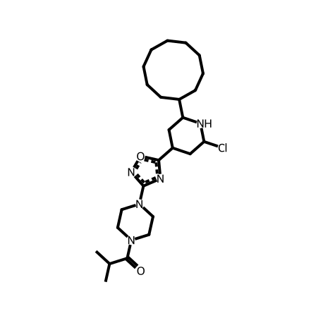 CC(C)C(=O)N1CCN(c2noc(C3CC(Cl)NC(C4CCCCCCCCC4)C3)n2)CC1